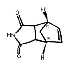 O=C1NC(=O)C2C1[C@@H]1C=C[C@H]2C1